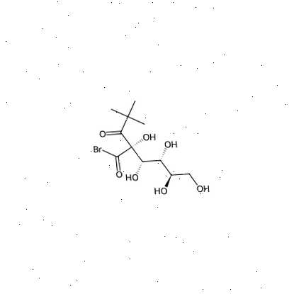 CC(C)(C)C(=O)[C@](O)(C(=O)Br)[C@@H](O)[C@H](O)[C@H](O)CO